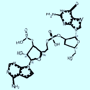 Nc1nc2c(ncn2[C@@H]2O[C@H](CO)CC2OP(=O)(O)OC[C@H]2O[C@@H](n3ccc4c(N)ncnc43)[C@H](O)C2O[PH](=O)O)c(=O)[nH]1